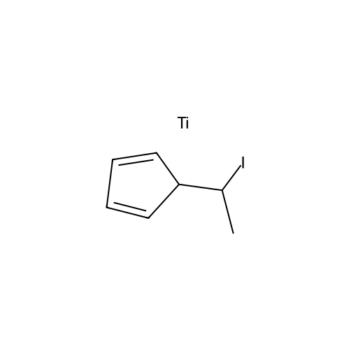 CC(I)C1C=CC=C1.[Ti]